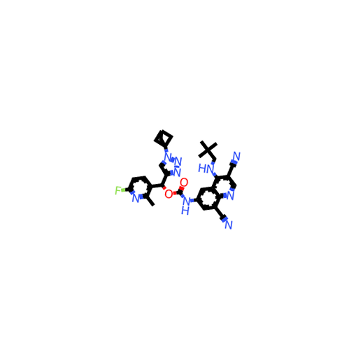 Cc1nc(F)ccc1C(OC(=O)Nc1cc(C#N)c2ncc(C#N)c(NCC(C)(C)C)c2c1)c1cn(C23CC(C2)C3)nn1